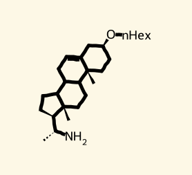 [CH2]CCCCCO[C@H]1CC[C@@]2(C)C(=CCC3C2CC[C@@]2(C)C3CC[C@@H]2[C@@H](C)N)C1